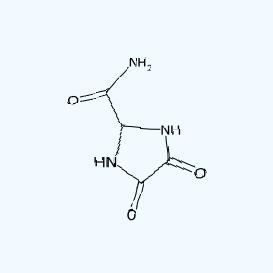 NC(=O)C1NC(=O)C(=O)N1